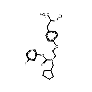 CCOC(Cc1ccc(OCCN(CC2CCCC2)C(=O)Oc2cccc(F)c2)cc1)C(=O)O